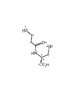 O=C(CCO)N[C@@H](CO)C(=O)O